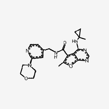 Cc1oc2ncnc(NC3(C)CC3)c2c1C(=O)NCc1ccnc(N2CCOCC2)c1